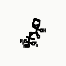 CC(C)(OC(=O)C1(O)CC2C=CC1C2)C(O)(C(F)(F)F)C(F)(F)F